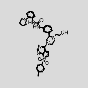 Cc1ccc(S(=O)(=O)n2ccc3c(N4CCN(CCO)C(c5cccc(NC(=O)Nc6ccccc6N6CCCC6)c5)C4)ncnc32)cc1